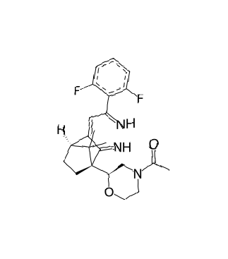 CC(=O)N1CCO[C@@H]([C@@]23CC[C@@H](/C(=C/C(=N)c4c(F)cccc4F)C2=N)C3(C)C)C1